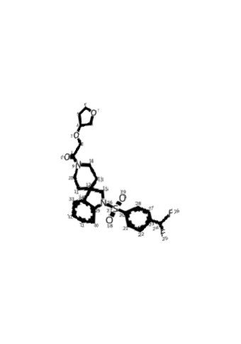 O=C(COC1CCOC1)N1CCC2(CC1)CN(S(=O)(=O)c1ccc(C(F)F)cc1)c1ccccc12